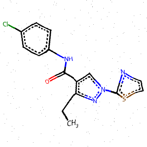 CCc1nn(-c2nccs2)cc1C(=O)Nc1ccc(Cl)cc1